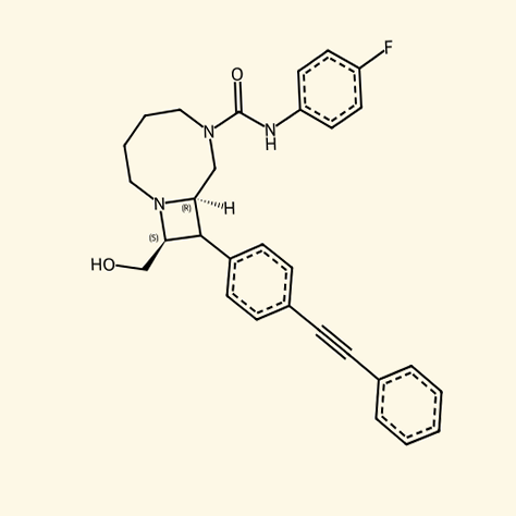 O=C(Nc1ccc(F)cc1)N1CCCCN2[C@H](CO)C(c3ccc(C#Cc4ccccc4)cc3)[C@@H]2C1